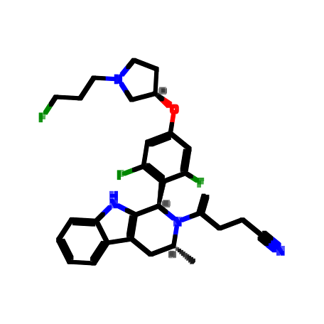 C=C(CCC#N)N1[C@H](c2c(F)cc(O[C@@H]3CCN(CCCF)C3)cc2F)c2[nH]c3ccccc3c2C[C@H]1C